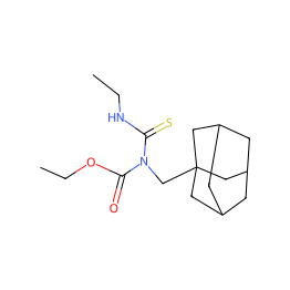 CCNC(=S)N(CC12CC3CC(CC(C3)C1)C2)C(=O)OCC